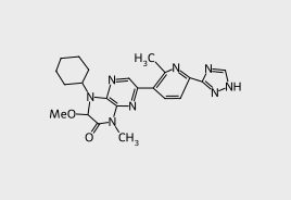 COC1C(=O)N(C)c2nc(-c3ccc(-c4nc[nH]n4)nc3C)cnc2N1C1CCCCC1